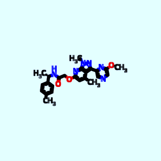 COc1cncc(-c2nn(C)c3nc(OCC(=O)N[C@@H](C)c4ccc(C)cc4)cc(C)c23)n1